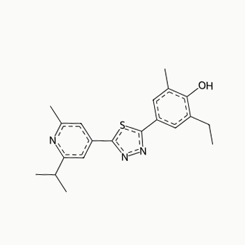 CCc1cc(-c2nnc(-c3cc(C)nc(C(C)C)c3)s2)cc(C)c1O